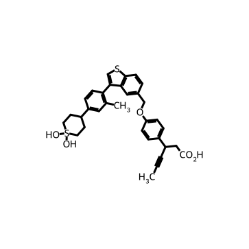 CC#CC(CC(=O)O)c1ccc(OCc2ccc3scc(-c4ccc(C5CCS(O)(O)CC5)cc4C)c3c2)cc1